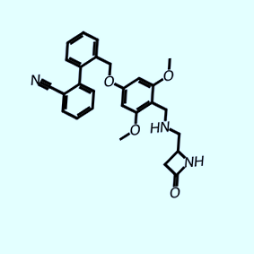 COc1cc(OCc2ccccc2-c2ccccc2C#N)cc(OC)c1CNCC1CC(=O)N1